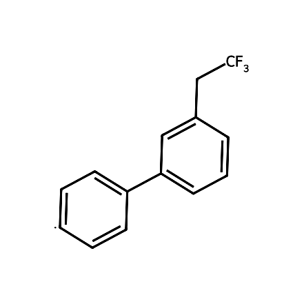 FC(F)(F)Cc1cccc(-c2cc[c]cc2)c1